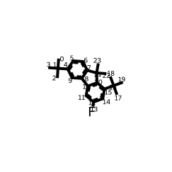 CC(C)(C)c1ccc2c(c1)-c1cc(F)cc(C(C)(C)C)c1C2(C)C